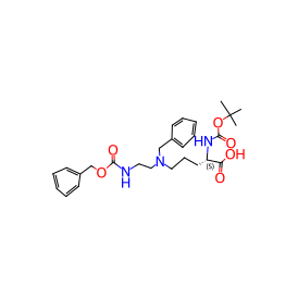 CC(C)(C)OC(=O)N[C@@H](CCCN(CCNC(=O)OCc1ccccc1)Cc1ccccc1)C(=O)O